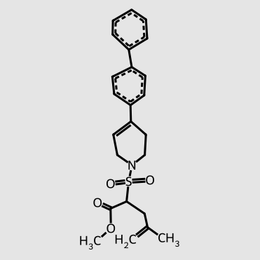 C=C(C)CC(C(=O)OC)S(=O)(=O)N1CC=C(c2ccc(-c3ccccc3)cc2)CC1